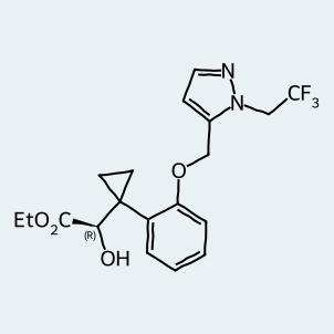 CCOC(=O)[C@H](O)C1(c2ccccc2OCc2ccnn2CC(F)(F)F)CC1